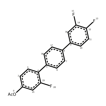 CC(=O)Oc1ccc(-c2ccc(-c3ccc(F)c(F)c3)cc2)c(F)c1